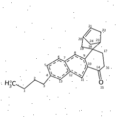 CCCCc1ccc2cc3c(cc2c1)C(=O)CCC31CC2=CCC1C2